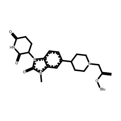 C=C(CN1CCC(c2ccc3c(c2)n(C)c(=O)n3C2CCC(=O)NC2=O)CC1)OC(C)(C)C